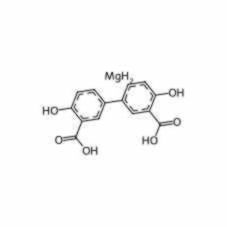 O=C(O)c1cc(-c2ccc(O)c(C(=O)O)c2)ccc1O.[MgH2]